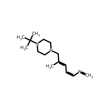 C=N/C=C\C=C(/C)CN1CCN(C(C)(C)C)CC1